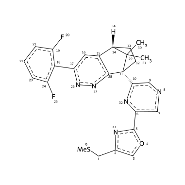 CSCc1coc(-c2cncc([C@]34CC[C@@H](c5cc(-c6c(F)cccc6F)nnc53)C4(C)C)n2)n1